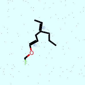 C/C=C(\C/C=C/OCF)CCC